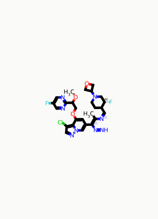 COC(COc1cc(/C(N=N)=C(C)/N=C\C2CCN(C3COC3)C[C@@H]2F)cn2ncc(Cl)c12)c1ncc(F)cn1